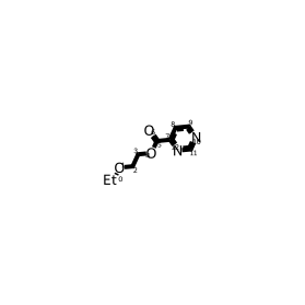 CCOCCOC(=O)c1ccncn1